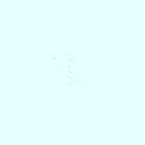 CC(C)[C@@H](NC(=O)N(C)Cc1cncs1)C(=O)N[C@@H](Cc1ccccc1)[C@@H](O)CN1CCN(C(=O)OC(C)(C)C)C[C@H]1C(=O)NC(C)(C)C